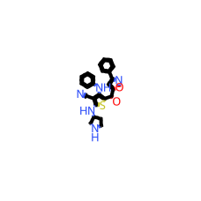 N#Cc1c(NC2CCNC2)sc(C(=O)c2cc(-c3ccccc3)no2)c1Nc1ccccc1